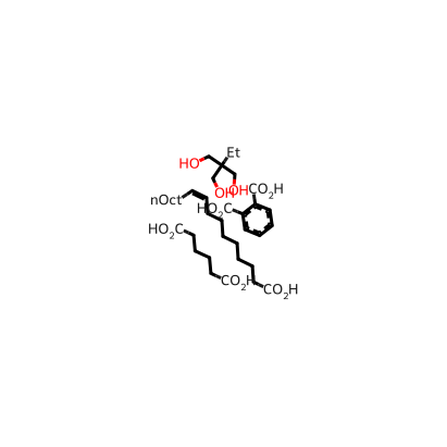 CCC(CO)(CO)CO.CCCCCCCC/C=C\CCCCCCCC(=O)O.O=C(O)CCCCC(=O)O.O=C(O)c1ccccc1C(=O)O